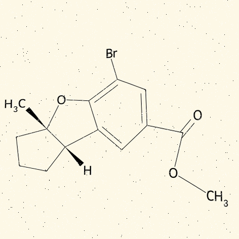 COC(=O)c1cc(Br)c2c(c1)[C@@H]1CCC[C@]1(C)O2